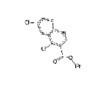 CC(C)OC(=O)c1cnc2ccc(Cl)cc2c1Cl